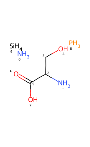 N.NC(CO)C(=O)O.P.[SiH4]